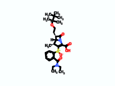 CCN(CC)C(=O)c1ccccc1[S+]([O-])C1=C(C(=O)O)N2C(=O)[C@@H](CCO[Si](C)(C)C(C)(C)C)[C@H]2[C@H]1C